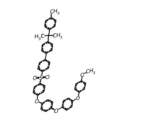 COc1ccc(Oc2ccc(Oc3ccc(Oc4ccc(S(=O)(=O)c5ccc(-c6ccc(C(C)(C)c7ccc(C)cc7)cc6)cc5)cc4)cc3)cc2)cc1